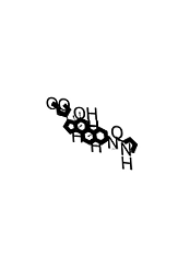 CN(C(=O)[C@H]1CCCN1)[C@H]1CC[C@@]2(C)[C@H](CC[C@@H]3[C@@H]2C[C@@H](O)[C@]2(C)[C@@H](C4=CC(=O)OC4)CC[C@]32O)C1